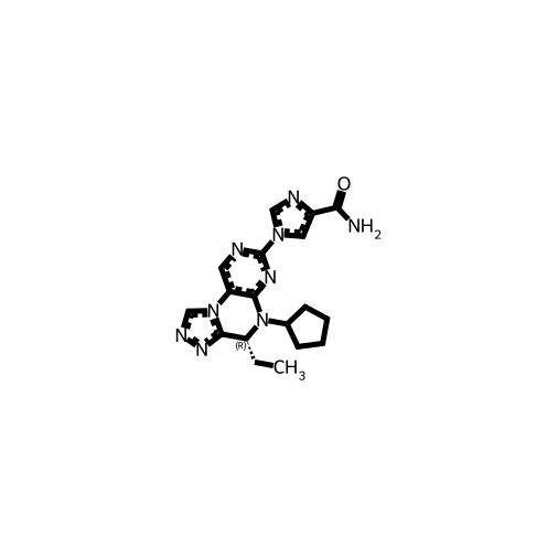 CC[C@@H]1c2nncn2-c2cnc(-n3cnc(C(N)=O)c3)nc2N1C1CCCC1